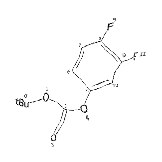 CC(C)(C)OC(=O)Oc1ccc(F)c(F)c1